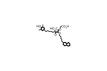 Cc1cc(CCCCCNC(=O)[C@H](OCCCCCc2ccc3ccccc3c2)[C@@H](OCC(=O)O)C(=O)O)cc(C)c1O